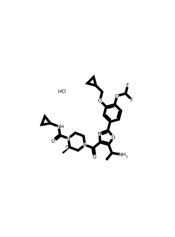 CC(N)c1oc(-c2ccc(OC(F)F)c(OCC3CC3)c2)nc1C(=O)N1CCN(C(=O)NC2CC2)[C@H](C)C1.Cl